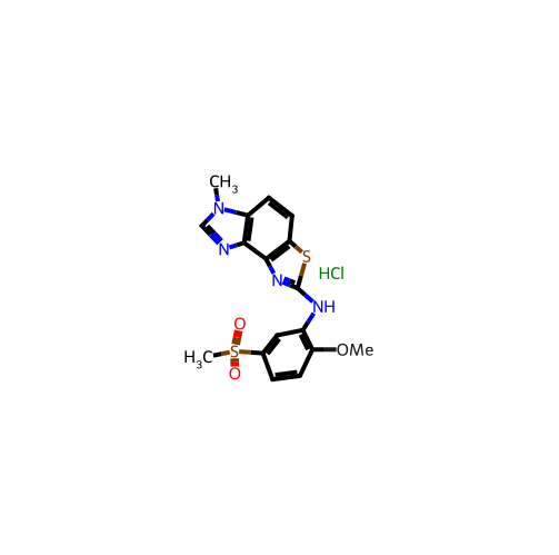 COc1ccc(S(C)(=O)=O)cc1Nc1nc2c(ccc3c2ncn3C)s1.Cl